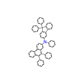 c1ccc(-c2c(-c3ccccc3)c3cc(N(c4ccccc4)c4ccc5c(c4)-c4ccccc4C5(c4ccccc4)c4ccccc4)ccc3c3ccccc23)cc1